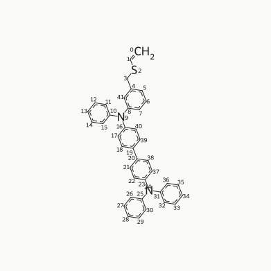 C=CSCc1cccc(N(c2ccccc2)c2ccc(-c3ccc(N(c4ccccc4)c4ccccc4)cc3)cc2)c1